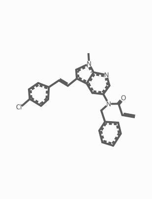 C=CC(=O)N(Cc1ccccc1)c1cnc2c(c1)c(C=Cc1ccc(Cl)cc1)cn2C